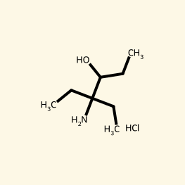 CCC(O)C(N)(CC)CC.Cl